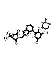 Cc1cc(Cl)nc(-c2ccnc3cc(CN4C(=O)C5C(C4=O)C5(C)C)sc23)c1O[C@H]1CCCNC1